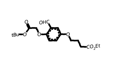 CCOC(=O)CCCOc1ccc(OCC(=O)OC(C)(C)C)c(C=O)c1